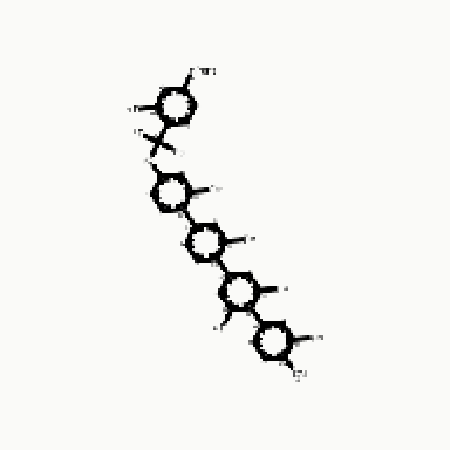 CCCCCc1ccc(C(F)(F)Oc2ccc(-c3ccc(-c4cc(F)c(-c5ccc(C#N)c(F)c5)c(F)c4)c(F)c3)c(F)c2)c(F)c1